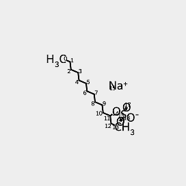 CCCCCCCCCCCC(CC)OS(=O)(=O)[O-].[Na+]